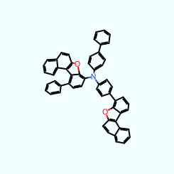 c1ccc(-c2ccc(N(c3ccc(-c4cccc5c4oc4ccc6ccccc6c45)cc3)c3ccc(-c4ccccc4)c4c3oc3ccc5ccccc5c34)cc2)cc1